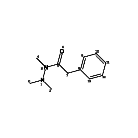 CN(C)N(C)C(=O)Cc1ccccc1